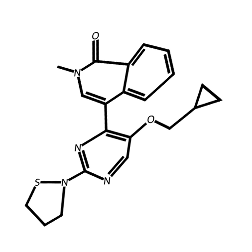 Cn1cc(-c2nc(N3CCCS3)ncc2OCC2CC2)c2ccccc2c1=O